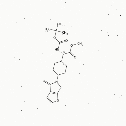 COC(=O)[C@@H](NC(=O)OC(C)(C)C)C1CCC(N2Cc3sccc3C2=O)CC1